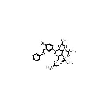 CC(=O)OCC1O[C@@H](c2ccc(Br)c(COc3ccccc3)c2)[C@H](OC(C)=O)[C@@H](OC(C)=O)[C@@H]1OC(C)=O